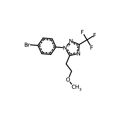 COCCc1nc(C(F)(F)F)nn1-c1ccc(Br)cc1